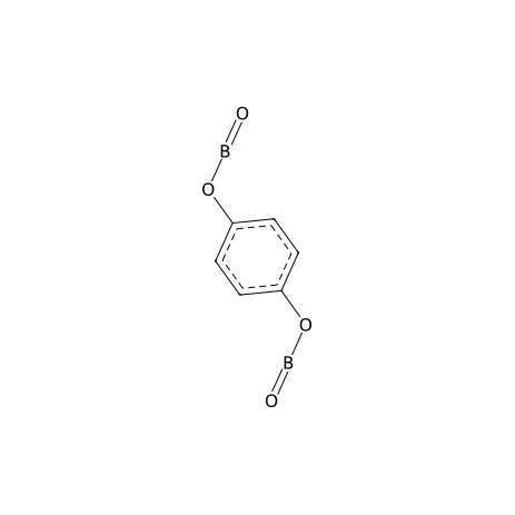 O=BOc1ccc(OB=O)cc1